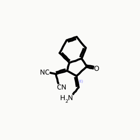 N#CC(C#N)=C1/C(=C\N)C(=O)c2ccccc21